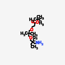 CCC(C)(CN)COCC(C)(C)COCCC(=O)OC(C)(C)C